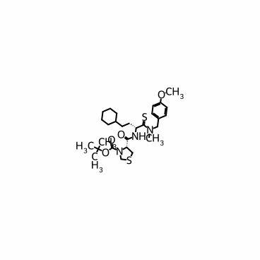 COc1ccc(CN(C)C(=S)[C@@H](CCC2CCCCC2)NC(=O)[C@@H]2CSCN2C(=O)OC(C)(C)C)cc1